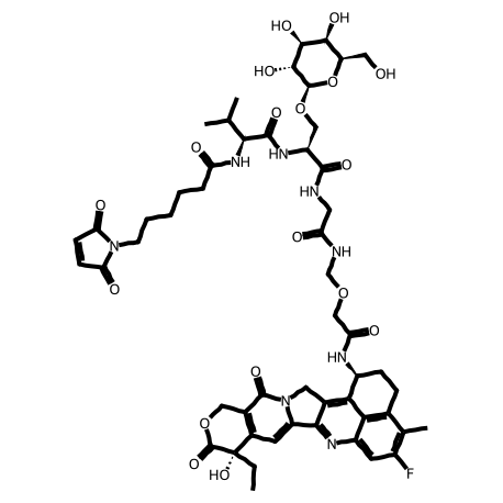 CC[C@@]1(O)C(=O)OCc2c1cc1n(c2=O)Cc2c-1nc1cc(F)c(C)c3c1c2[C@@H](NC(=O)COCNC(=O)CNC(=O)[C@H](CO[C@@H]1O[C@H](CO)[C@H](O)[C@H](O)[C@H]1O)NC(=O)[C@@H](NC(=O)CCCCCN1C(=O)C=CC1=O)C(C)C)CC3